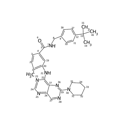 Cc1ccc(C(=O)NCc2ccc(C(C)(C)C)cc2)cc1Nc1ncnc2cnc(N3CCCCC3)nc12